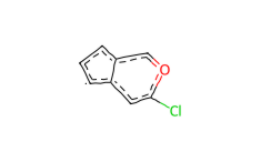 Clc1cc2[c]ccc-2co1